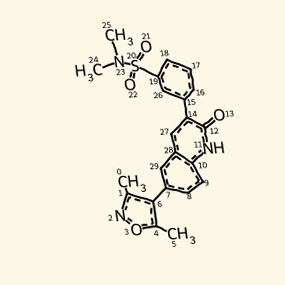 Cc1noc(C)c1-c1ccc2[nH]c(=O)c(-c3cccc(S(=O)(=O)N(C)C)c3)cc2c1